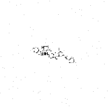 Cc1ccc(COc2cc(F)cc(Oc3ccc(Nc4c(N)ncnc4C(=N)C4CCOCC4)cc3)c2)cn1